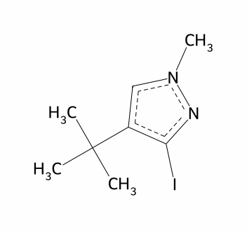 Cn1cc(C(C)(C)C)c(I)n1